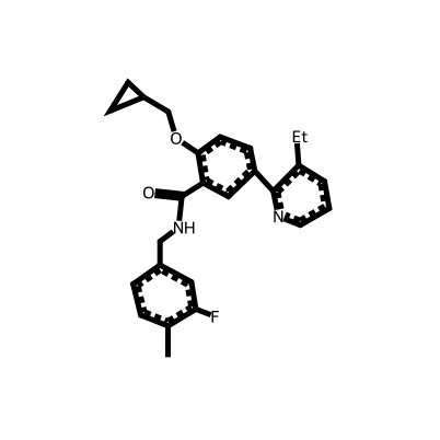 CCc1cccnc1-c1ccc(OCC2CC2)c(C(=O)NCc2ccc(C)c(F)c2)c1